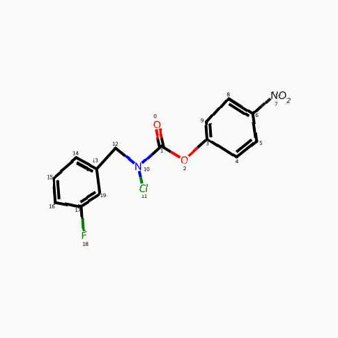 O=C(Oc1ccc([N+](=O)[O-])cc1)N(Cl)Cc1cccc(F)c1